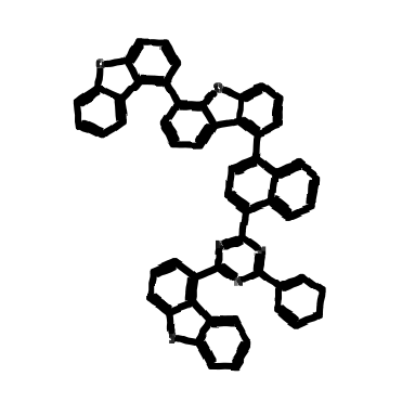 C1=CC(c2nc(-c3ccc(-c4cccc5oc6c(-c7cccc8oc9ccccc9c78)cccc6c45)c4ccccc34)nc(-c3cccc4sc5ccccc5c34)n2)=CCC1